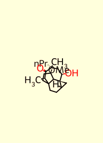 CCC[C@]1(C)C[C@@H](O)[C@]23C[C@@H]2CCC2(CC[C@@H](OC)C23)[C@@H](C)C1=O